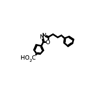 O=C(O)c1ccc(-c2nnc(CCCc3ccccc3)o2)cc1